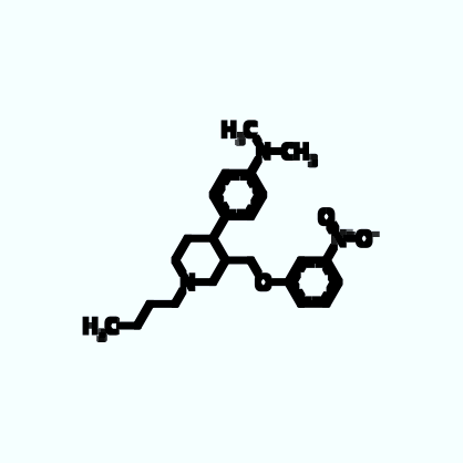 CCCCN1CCC(c2ccc(N(C)C)cc2)C(COc2cccc([N+](=O)[O-])c2)C1